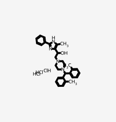 Cc1ccccc1C(c1ccccc1C)N1CCN(CC(O)c2nc(-c3ccccc3)[nH]c2C)CC1.Cl.Cl.Cl